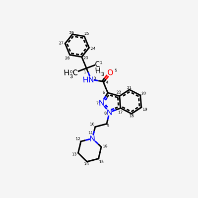 CC(C)(NC(=O)c1nn(CCN2CCCCC2)c2ccccc12)c1ccccc1